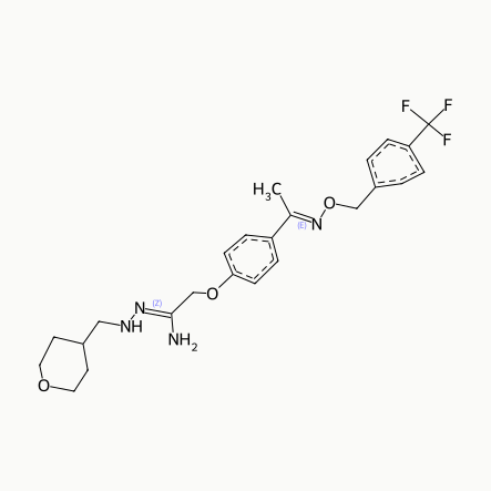 C/C(=N\OCc1ccc(C(F)(F)F)cc1)c1ccc(OC/C(N)=N/NCC2CCOCC2)cc1